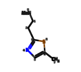 CNCCc1ncc(C)s1